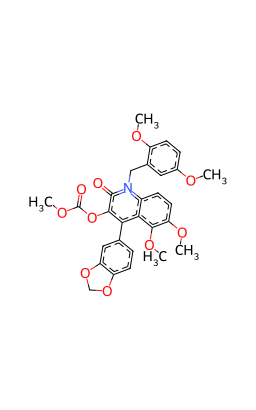 COC(=O)Oc1c(-c2ccc3c(c2)OCO3)c2c(OC)c(OC)ccc2n(Cc2cc(OC)ccc2OC)c1=O